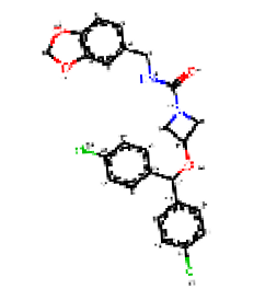 O=C(NCc1ccc2c(c1)OCO2)N1CC(OC(c2ccc(Cl)cc2)c2ccc(Cl)cc2)C1